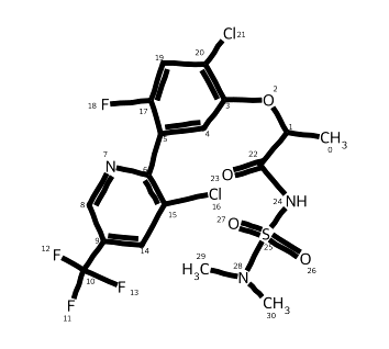 CC(Oc1cc(-c2ncc(C(F)(F)F)cc2Cl)c(F)cc1Cl)C(=O)NS(=O)(=O)N(C)C